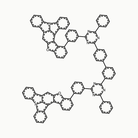 c1ccc(-c2nc(-c3cccc(-c4ccc(-c5nc(-c6ccccc6)nc(-c6cccc(-c7cccc8oc9cc%10c%11ccccc%11n%11c%12ccccc%12c(c9c78)c%10%11)c6)n5)cc4)c3)nc(-c3cccc(-c4cccc5c4oc4cc6c7ccccc7n7c8ccccc8c(c45)c67)c3)n2)cc1